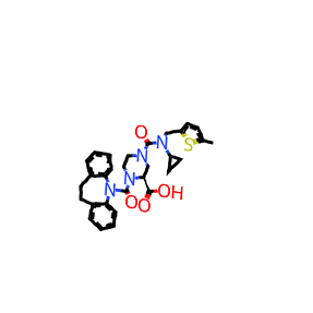 Cc1ccc(CN(C(=O)N2CCN(C(=O)N3c4ccccc4CCc4ccccc43)[C@H](C(=O)O)C2)C2CC2)s1